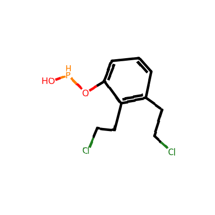 OPOc1cccc(CCCl)c1CCCl